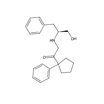 O=C(CN[C@H](CO)Cc1ccccc1)C1(c2ccccc2)CCCC1